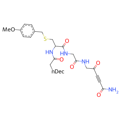 CCCCCCCCCCCC(=O)NC(CSCc1ccc(OC)cc1)C(=O)NCC(=O)NCC(=O)C#CC(N)=O